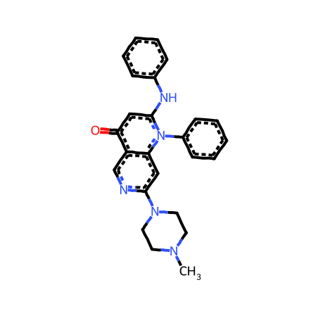 CN1CCN(c2cc3c(cn2)c(=O)cc(Nc2ccccc2)n3-c2ccccc2)CC1